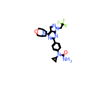 NC(=O)N(c1ccc(-c2nc(N3C4CCC3COC4)c3cnn(CC(F)(F)F)c3n2)cc1)C1CC1